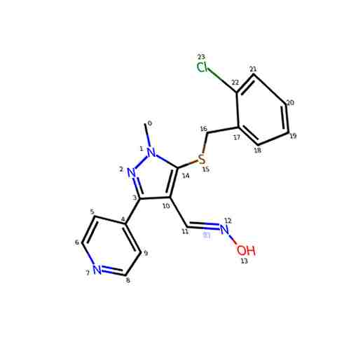 Cn1nc(-c2ccncc2)c(/C=N/O)c1SCc1ccccc1Cl